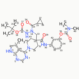 Cc1c[nH]c2ncnc(N3CCC(CN(NC(=O)OC(C)(C)C)C(=O)C4CC4)(C(=O)Nc4cccc(OC(=O)N(C)C)c4)CC3)c12